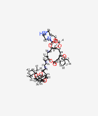 CCO[C@H](C)O[C@]1(C)CC[C@@H](O[Si](CC)(CC)CC)CC(=O)O[C@H](/C(C)=C/C=C/[C@@](C)(C[C@H]2O[C@@H]2[C@H](C)[C@H](CC)O[Si](CC)(CC)CC)O[Si](CC)(CC)CC)[C@@H](C)/C=C/[C@@H]1OC(=O)N1CCNCC1